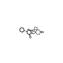 O=c1cc(-c2ccccc2)ncn1CC1(O)CCNCC12CCC2